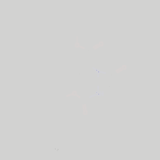 O=C(NC12CC(=O)N1C(C(=O)OCc1ccccc1)=C(Sc1ccccc1)C2)OCc1ccc([N+](=O)[O-])cc1